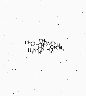 Cc1c(-c2ccc(Cl)cc2)c2c(N)ncnc2n1[C@@H]1CCN(C(=O)OC(C)(C)C)C1